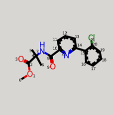 COC(=O)C(C)(C)NC(=O)c1cccc(-c2ccccc2Cl)n1